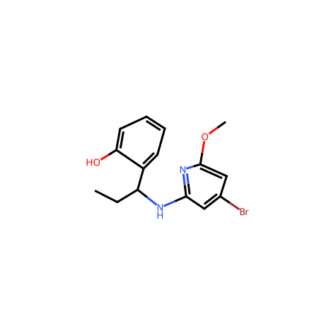 CCC(Nc1cc(Br)cc(OC)n1)c1ccccc1O